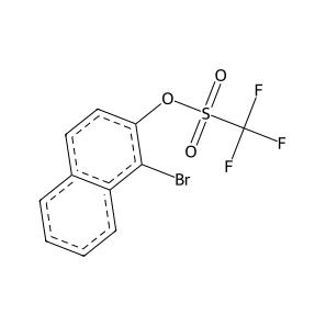 O=S(=O)(Oc1ccc2ccccc2c1Br)C(F)(F)F